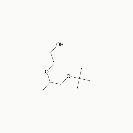 CC(COC(C)(C)C)OCCO